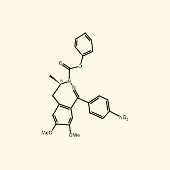 COc1cc2c(cc1OC)C(c1ccc([N+](=O)[O-])cc1)=NN(C(=O)Oc1ccccc1)[C@H](C)C2